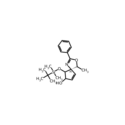 CC1OC(c2ccccc2)=N[C@]12C=CC(O)C2O[Si](C)(C)C(C)(C)C